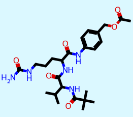 CC(=O)OCc1ccc(NC(=O)C(CCCNC(N)=O)NC(=O)C(NC(=O)C(C)(C)C)C(C)C)cc1